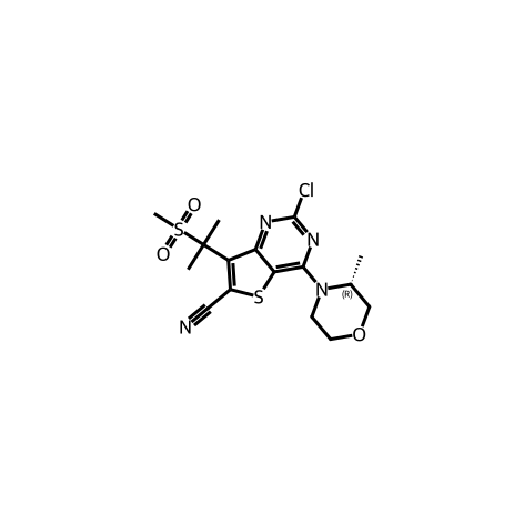 C[C@@H]1COCCN1c1nc(Cl)nc2c(C(C)(C)S(C)(=O)=O)c(C#N)sc12